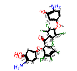 Nc1ccc(Oc2c(F)c(F)c(C(=O)c3c(F)c(F)c(F)c(F)c3Oc3ccc(N)c(O)c3)c(F)c2F)cc1O